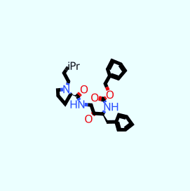 CC(C)CCN1CCC[C@H]1C(=O)NCC(=O)[C@H](Cc1ccccc1)NC(=O)OCc1ccccc1